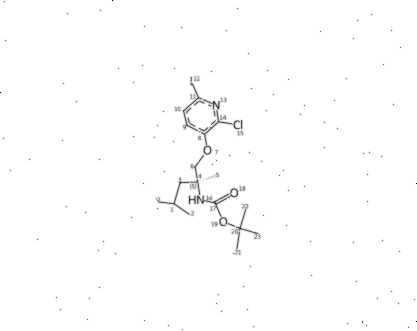 CC(C)C[C@@](C)(COc1ccc(I)nc1Cl)NC(=O)OC(C)(C)C